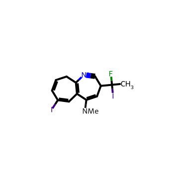 CNC1=CC(C(C)(F)I)C#[N+]C2=C1C=C(I)C=CC2